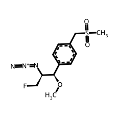 CO[C@H](c1ccc(CS(C)(=O)=O)cc1)[C@@H](CF)N=[N+]=[N-]